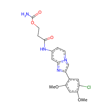 COc1cc(OC)c(-c2cn3ccc(NC(=O)CCOC(N)=O)cc3n2)cc1Cl